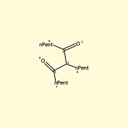 CCCCCC(=O)C(CCCCC)C(=O)CCCCC